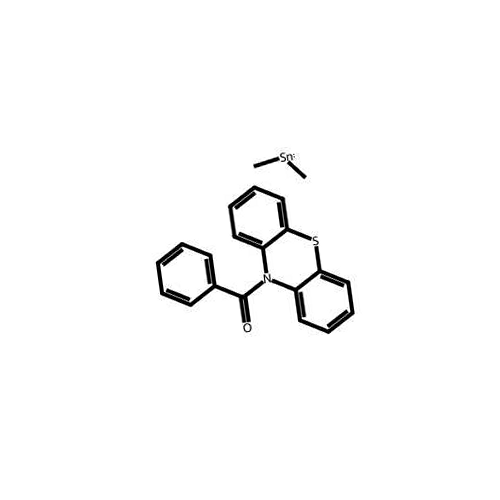 O=C(c1ccccc1)N1c2ccccc2Sc2ccccc21.[CH3][Sn][CH3]